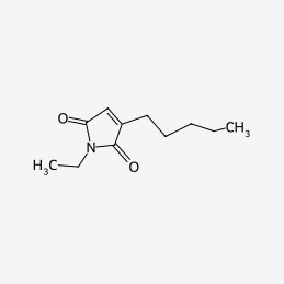 CCCCCC1=CC(=O)N(CC)C1=O